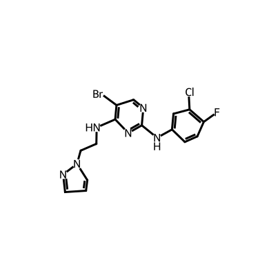 Fc1ccc(Nc2ncc(Br)c(NCCn3cccn3)n2)cc1Cl